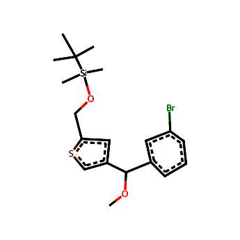 COC(c1cccc(Br)c1)c1csc(CO[Si](C)(C)C(C)(C)C)c1